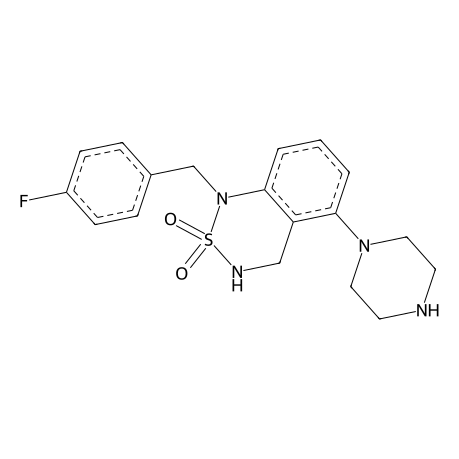 O=S1(=O)NCc2c(N3CCNCC3)cccc2N1Cc1ccc(F)cc1